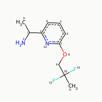 CC(N)c1cccc(OCC(C)(F)F)n1